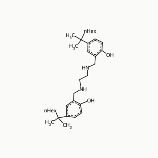 CCCCCCC(C)(C)c1ccc(O)c(CNCCNCc2cc(C(C)(C)CCCCCC)ccc2O)c1